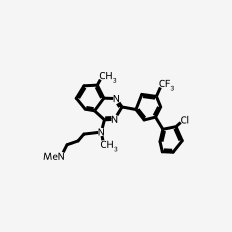 CNCCCN(C)c1nc(-c2cc(-c3ccccc3Cl)cc(C(F)(F)F)c2)nc2c(C)cccc12